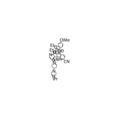 CCOc1cc(OC)ccc1S(=O)(=O)N1C(=O)C(NC(=O)N2CCC(N3CCN(C(C)C)CC3)CC2)(c2cccnc2OCC)c2cc(C#N)ccc21